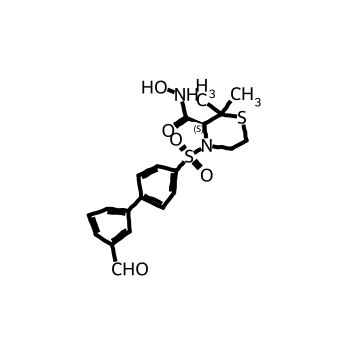 CC1(C)SCCN(S(=O)(=O)c2ccc(-c3cccc(C=O)c3)cc2)[C@H]1C(=O)NO